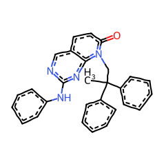 CC(Cn1c(=O)ccc2cnc(Nc3ccccc3)nc21)(c1ccccc1)c1ccccc1